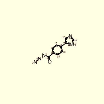 [N-]=[N+]=NC(=O)c1ccc(-c2cnc[nH]2)cc1